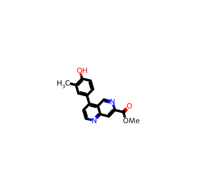 COC(=O)c1cc2nccc(-c3ccc(O)c(C)c3)c2cn1